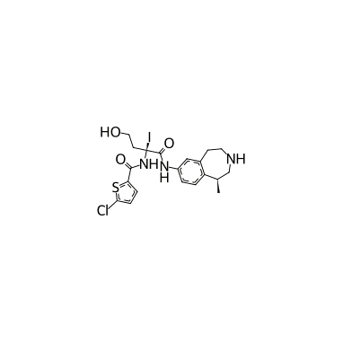 C[C@@H]1CNCCc2cc(NC(=O)[C@@](I)(CCO)NC(=O)c3ccc(Cl)s3)ccc21